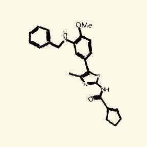 COc1ccc(-c2sc(NC(=O)C3CCCC3)nc2C)cc1NCc1ccccc1